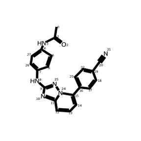 CC(=O)Nc1ccc(Nc2nc3cccc(-c4ccc(C#N)cc4)n3n2)cc1